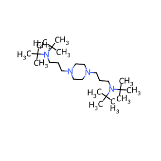 CC(C)(C)N(CCCN1CCN(CCCN(C(C)(C)C)C(C)(C)C)CC1)C(C)(C)C